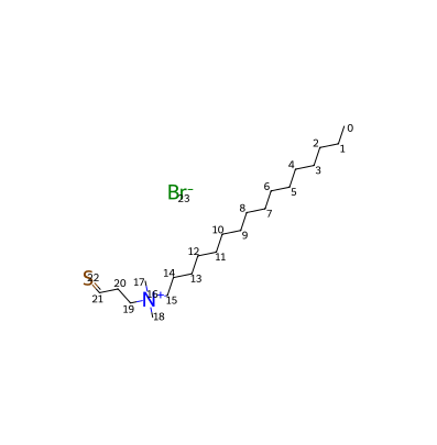 CCCCCCCCCCCCCCCC[N+](C)(C)CCC=S.[Br-]